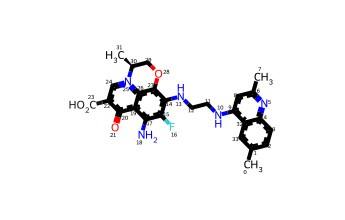 Cc1ccc2nc(C)cc(NCCNc3c(F)c(N)c4c(=O)c(C(=O)O)cn5c4c3OC[C@@H]5C)c2c1